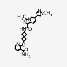 Cc1nc(C(=O)NC2CC3(C2)CC(Oc2ncccc2C(N)=O)C3)c2ccc(-c3cnn(C)c3)cn12